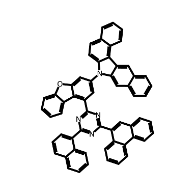 c1ccc2cc3c(cc2c1)c1c2ccccc2ccc1n3-c1cc(-c2nc(-c3cccc4ccccc34)nc(-c3cc4ccccc4c4ccccc34)n2)c2c(c1)oc1ccccc12